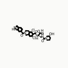 O=C(N[C@@H](CNC(=O)N1CCC[C@@H](O)C1)C(=O)O)c1c(Cl)cc2c(c1Cl)CCN(C(=O)c1ccc3cn[nH]c3c1)C2